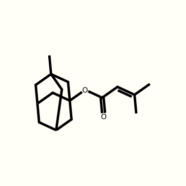 CC(C)=CC(=O)OC12CC3CC(CC(C)(C3)C1)C2